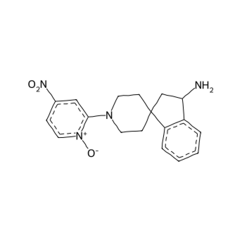 NC1CC2(CCN(c3cc([N+](=O)[O-])cc[n+]3[O-])CC2)c2ccccc21